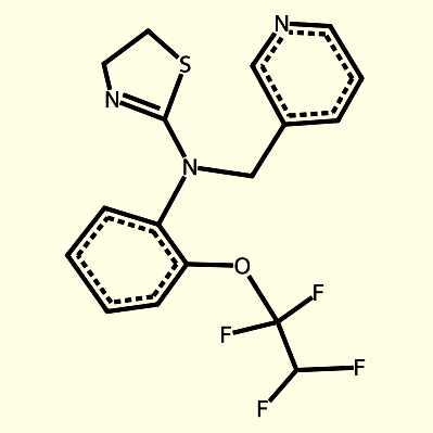 FC(F)C(F)(F)Oc1ccccc1N(Cc1cccnc1)C1=NCCS1